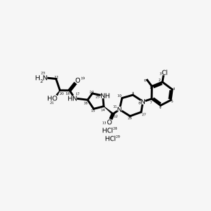 Cc1c(Cl)cccc1N1CCN(C(=O)[C@H]2CC(NC(=O)[C@@H](O)CN)CN2)CC1.Cl.Cl